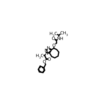 CC(C)NC(=O)COC1CCCCCc2c1nnn2C(C)C(=O)OCc1ccccc1